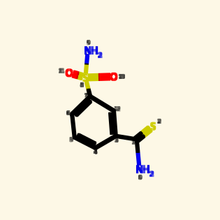 NC(=S)c1cccc(S(N)(=O)=O)c1